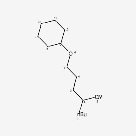 CCCCC(C#N)CCCOC1CCCCC1